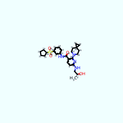 C[C@@H](O)CNc1ccc(C(=O)Nc2cccc(S(=O)(=O)C3CCCC3)c2)c(N2CCC3(CC2)CC3)n1